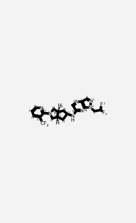 FC(F)Cn1ncc2ncc(NC3C[C@@H]4CN(c5ncccc5C(F)(F)F)C[C@@H]4C3)nc21